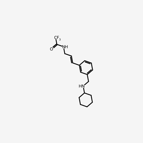 O=C(NCC=Cc1cccc(CNC2CCCCC2)c1)C(F)(F)F